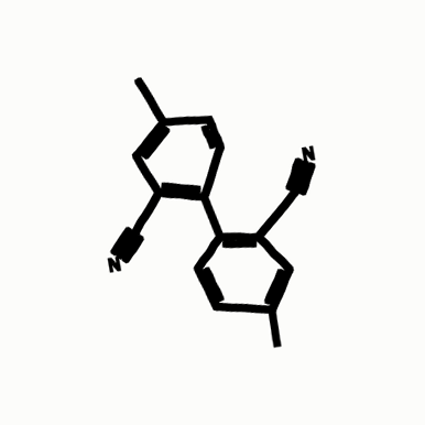 Cc1ccc(-c2ccc(C)cc2C#N)c(C#N)c1